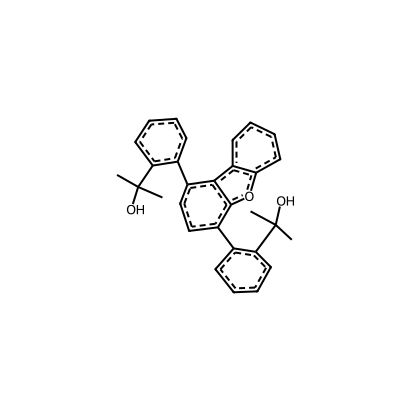 CC(C)(O)c1ccccc1-c1ccc(-c2ccccc2C(C)(C)O)c2c1oc1ccccc12